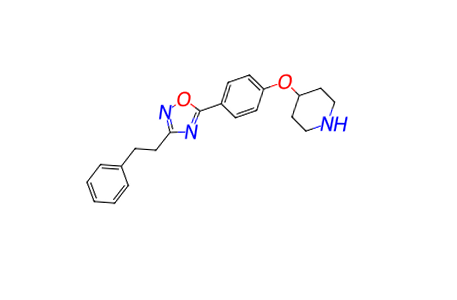 c1ccc(CCc2noc(-c3ccc(OC4CCNCC4)cc3)n2)cc1